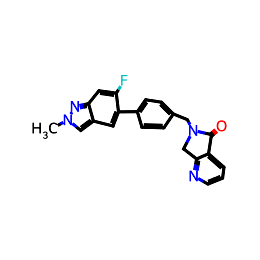 Cn1cc2cc(-c3ccc(CN4Cc5ncccc5C4=O)cc3)c(F)cc2n1